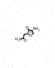 NC(=O)CN1OC[C@@H](N)C1=O